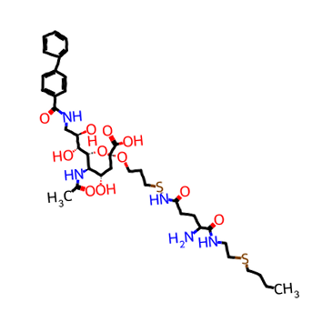 CCCCSCCNC(=O)C(N)CCC(=O)NSCCCO[C@]1(C(=O)O)C[C@H](O)[C@@H](NC(C)=O)[C@H]([C@H](O)[C@H](O)CNC(=O)c2ccc(-c3ccccc3)cc2)O1